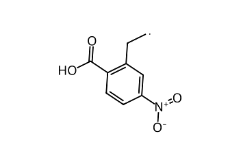 [CH2]Cc1cc([N+](=O)[O-])ccc1C(=O)O